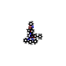 C1=C(c2ccccc2)N=C(c2ccc(-c3ccccc3)cc2)N=C(n2c3ccccc3c3ccc4c5ccccc5n(-c5ccc(-c6ccc(-c7nc8ccccc8o7)cc6)cc5)c4c32)C1